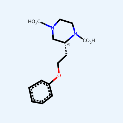 O=C(O)N1CCN(C(=O)O)[C@H](CCOc2ccccc2)C1